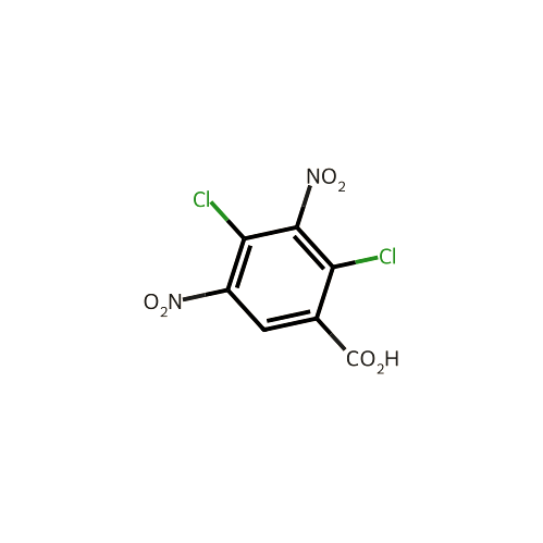 O=C(O)c1cc([N+](=O)[O-])c(Cl)c([N+](=O)[O-])c1Cl